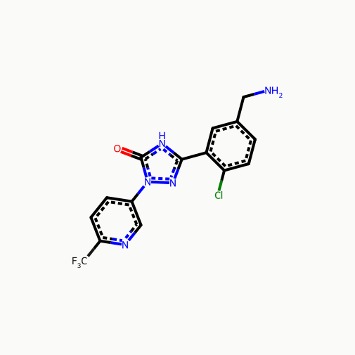 NCc1ccc(Cl)c(-c2nn(-c3ccc(C(F)(F)F)nc3)c(=O)[nH]2)c1